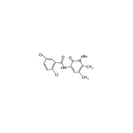 CCCCn1c(C)c(C)cc(NC(=O)c2cc(Cl)ccc2Cl)c1=O